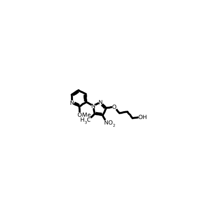 COc1ncccc1-n1nc(OCCCO)c([N+](=O)[O-])c1C